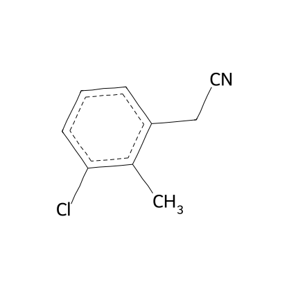 Cc1c(Cl)cccc1CC#N